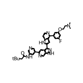 CN(C)CCOc1cc(F)cc(-c2nccc3[nH]c(-c4n[nH]c5cnc(-c6cncc(NC(=O)CC(C)(C)C)c6)cc45)cc23)c1